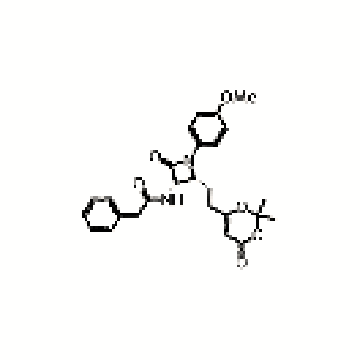 COc1ccc(N2C(=O)[C@@H](NC(=O)Cc3ccccc3)[C@H]2CCC2=CC(=O)OC(C)(C)O2)cc1